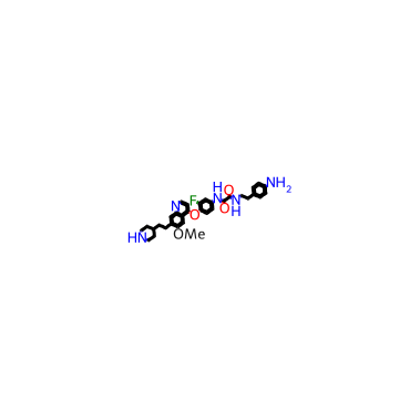 COc1cc2c(Oc3ccc(NC(=O)C(=O)NCCc4ccc(N)cc4)cc3F)ccnc2cc1CCC1CCNCC1